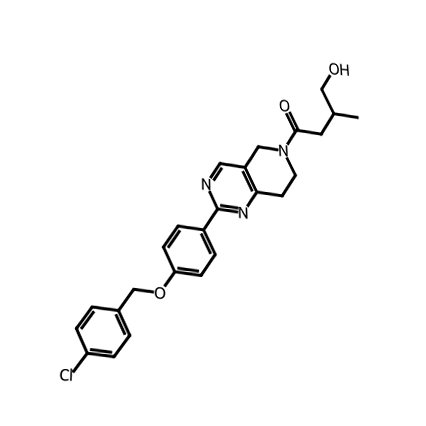 CC(CO)CC(=O)N1CCc2nc(-c3ccc(OCc4ccc(Cl)cc4)cc3)ncc2C1